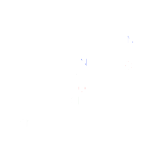 O=C(Cc1c(F)cc(Cl)cc1Cl)NC1CCOc2ncccc21